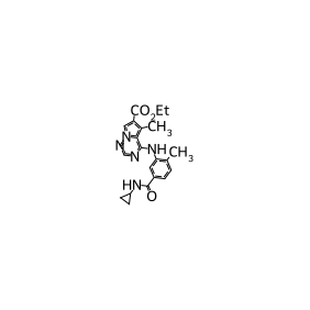 CCOC(=O)c1cn2ncnc(Nc3cc(C(=O)NC4CC4)ccc3C)c2c1C